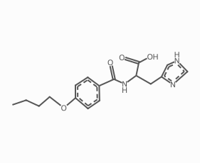 CCCCOc1ccc(C(=O)NC(Cc2c[nH]cn2)C(=O)O)cc1